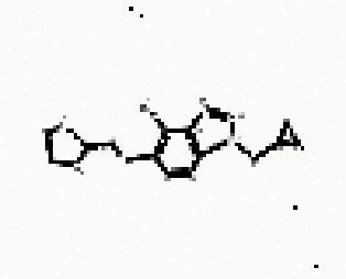 Brc1c(OCC2OCCO2)ccc2c1nnn2CC1CC1